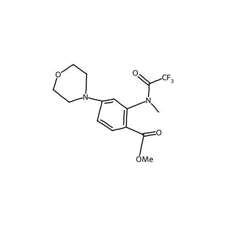 COC(=O)c1ccc(N2CCOCC2)cc1N(C)C(=O)C(F)(F)F